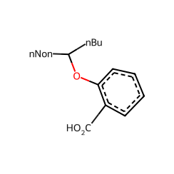 CCCCCCCCCC(CCCC)Oc1ccccc1C(=O)O